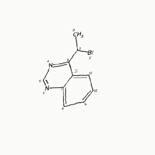 CC(Br)c1ncnc2ccccc12